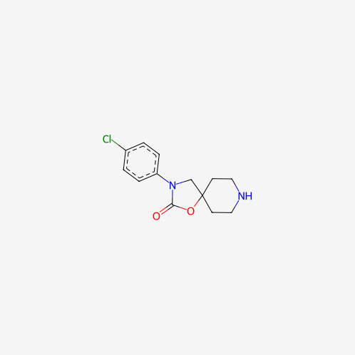 O=C1OC2(CCNCC2)CN1c1ccc(Cl)cc1